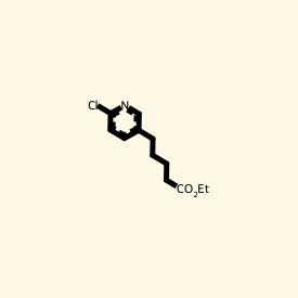 CCOC(=O)CCCCc1ccc(Cl)nc1